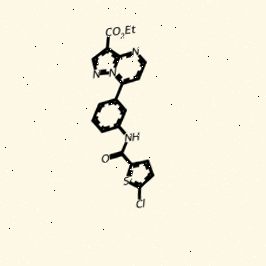 CCOC(=O)c1cnn2c(-c3cccc(NC(=O)c4ccc(Cl)s4)c3)ccnc12